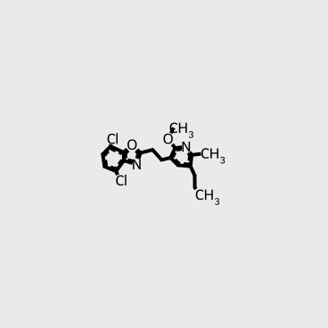 CCCc1cc(CCc2nc3c(Cl)ccc(Cl)c3o2)c(OC)nc1C